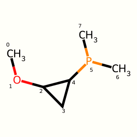 COC1CC1P(C)C